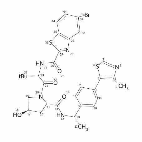 Cc1ncsc1-c1ccc([C@H](C)NC(=O)[C@@H]2C[C@@H](O)CN2C(=O)[C@@H](NC(=O)c2nc3cc(Br)ccc3s2)C(C)(C)C)cc1